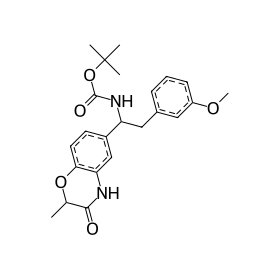 COc1cccc(CC(NC(=O)OC(C)(C)C)c2ccc3c(c2)NC(=O)C(C)O3)c1